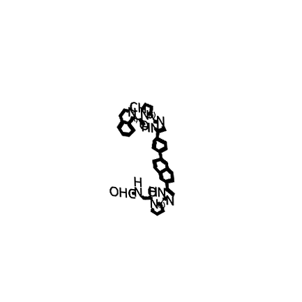 CN1CCc2ccccc2[C@@H]1C(=O)N1CCC[C@H]1c1ncc(-c2ccc(-c3ccc4cc(-c5cnc([C@@H]6CCCN6C(=O)CNC=O)[nH]5)ccc4c3)cc2)[nH]1